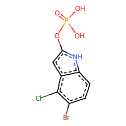 O=P(O)(O)Oc1cc2c(Cl)c(Br)ccc2[nH]1